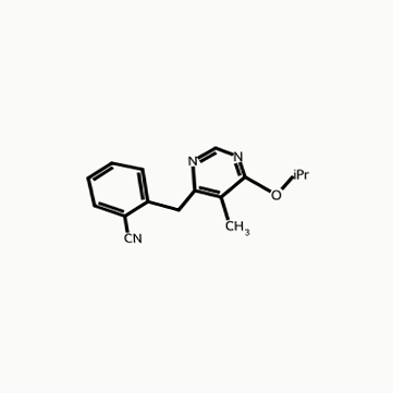 Cc1c(Cc2ccccc2C#N)ncnc1OC(C)C